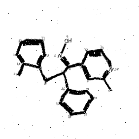 Cc1cc(/C(=N\O)C(Cc2ccccc2C)c2[c]cccc2)ccn1